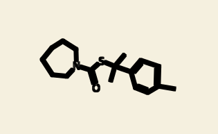 Cc1ccc(C(C)(C)SC(=O)N2CCCCCC2)cc1